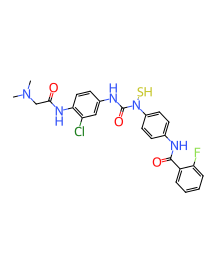 CN(C)CC(=O)Nc1ccc(NC(=O)N(S)c2ccc(NC(=O)c3ccccc3F)cc2)cc1Cl